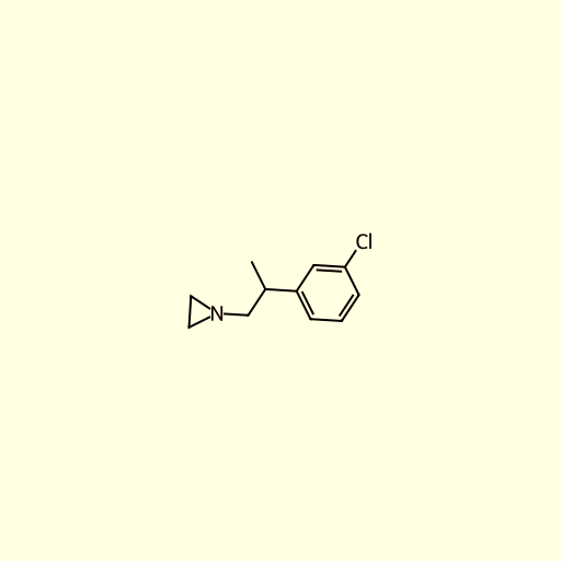 CC(CN1CC1)c1cccc(Cl)c1